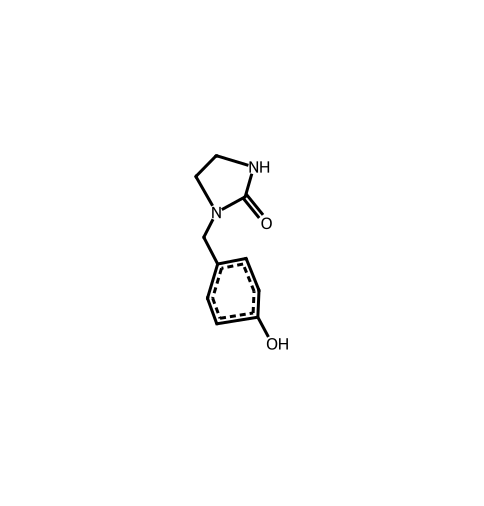 O=C1NCCN1Cc1ccc(O)cc1